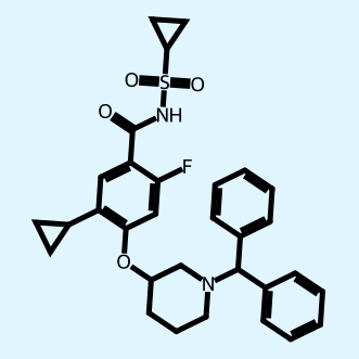 O=C(NS(=O)(=O)C1CC1)c1cc(C2CC2)c(OC2CCCN(C(c3ccccc3)c3ccccc3)C2)cc1F